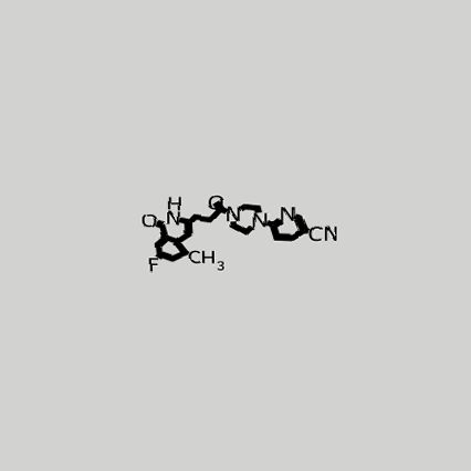 Cc1cc(F)cc2c(=O)[nH]c(CCC(=O)N3CCN(c4ccc(C#N)cn4)CC3)cc12